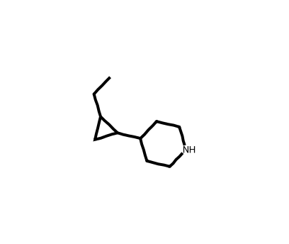 CCC1CC1C1CCNCC1